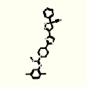 CO/C(=N\c1cc(C)ccc1C)N1CCC(c2nc(C3=NOC(C#N)(c4ccccc4)C3)cs2)CC1